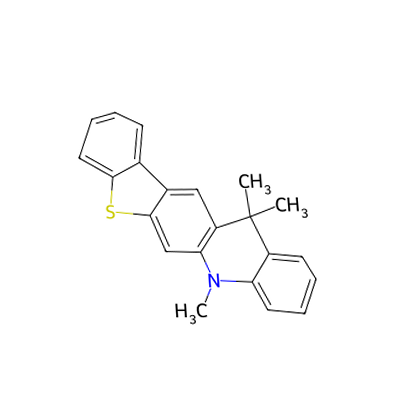 CN1c2ccccc2C(C)(C)c2cc3c(cc21)sc1ccccc13